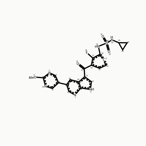 COc1ncc(-c2cnc3[nH]cc(C(=O)c4cccc(NS(=O)(=O)NC5CC5)c4F)c3c2)cn1